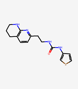 O=C(NCCc1ccc2c(n1)NCCC2)Nc1ccsc1